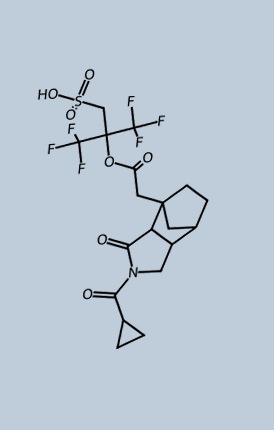 O=C(CC12CCC(C1)C1CN(C(=O)C3CC3)C(=O)C12)OC(CS(=O)(=O)O)(C(F)(F)F)C(F)(F)F